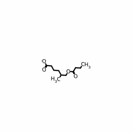 CCCC(=O)OCC(C)CCCC([O])=O